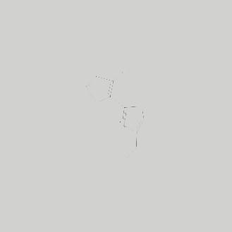 ClCc1coc(-c2sccc2Cl)n1